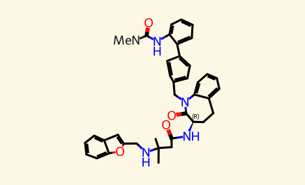 CNC(=O)Nc1ccccc1-c1ccc(CN2C(=O)[C@H](NC(=O)CC(C)(C)NCc3cc4ccccc4o3)CCc3ccccc32)cc1